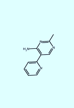 Cc1ncc(-c2ccccn2)c(N)n1